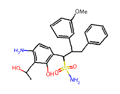 COc1cccc(C(Cc2ccccc2)C(c2ccc(N)c(C(C)O)c2O)S(N)(=O)=O)c1